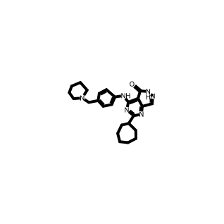 O=c1[nH]ncc2nc(C3CCCCCC3)nc(Nc3ccc(CN4CCCCC4)cc3)c12